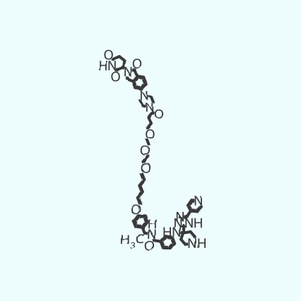 C[C@@H](NC(=O)c1cccc(NC2(c3nnc(-c4ccncc4)[nH]3)CCNCC2)c1)c1ccc(OCCCCCCOCCOCCOCCCC(=O)N2CCN(c3ccc4c(c3)CN(C3CCC(=O)NC3=O)C4=O)CC2)cc1